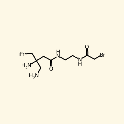 CC(C)CC(N)(CN)CC(=O)NCCNC(=O)CBr